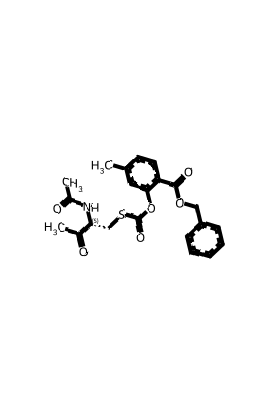 CC(=O)N[C@H](CSC(=O)Oc1cc(C)ccc1C(=O)OCc1ccccc1)C(C)=O